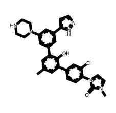 Cc1cc(-c2cc(-c3ccn[nH]3)cc(N3CCNCC3)c2)c(O)c(-c2ccc(-n3ccn(C)c3=O)c(Cl)c2)c1